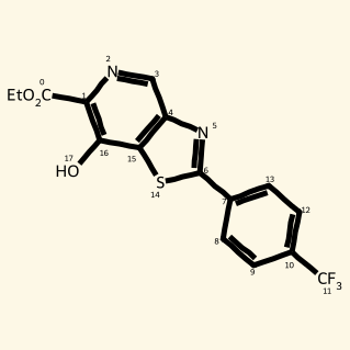 CCOC(=O)c1ncc2nc(-c3ccc(C(F)(F)F)cc3)sc2c1O